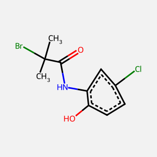 CC(C)(Br)C(=O)Nc1cc(Cl)ccc1O